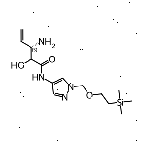 C=C[C@H](N)C(O)C(=O)Nc1cnn(COCC[Si](C)(C)C)c1